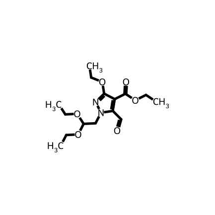 CCOC(=O)c1c(OCC)nn(CC(OCC)OCC)c1C=O